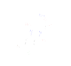 O=c1c2cc(Cl)c(Br)cc2ncn1CC1(CC2NCCCC2O)OCCO1